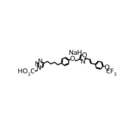 O=C(O)Cn1cc(CCCCc2ccc(OCc3coc(C=Cc4ccc(OC(F)(F)F)cc4)n3)cc2)nn1.[NaH]